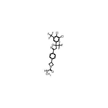 CNC(=O)N1CC(c2ccc(C3=NOC(c4cc(Cl)c(Cl)c(C(F)(F)F)c4)(C(F)(F)F)C3)cc2)C1